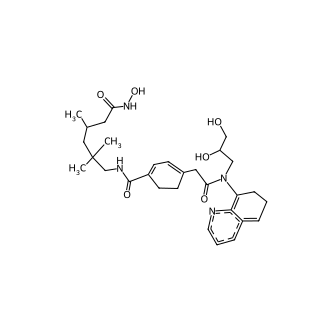 CC(CC(=O)NO)CC(C)(C)CNC(=O)C1=CC=C(CC(=O)N(CC(O)CO)C2=c3ncccc3=CCC2)CC1